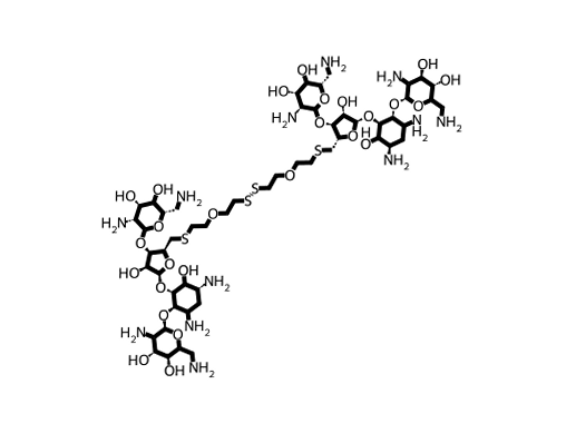 NCC1O[C@H](O[C@@H]2C(N)C[C@@H](N)C(O)[C@H]2O[C@@H]2O[C@H](CSCCOCCSSCCOCCSC[C@H]3O[C@@H](O[C@@H]4C(O)[C@H](N)CC(N)[C@H]4O[C@H]4OC(CN)[C@@H](O)[C@H](O)C4N)[C@@H](O)[C@H]3OC3O[C@@H](CN)C(O)[C@@H](O)[C@H]3N)[C@H](OC3O[C@@H](CN)C(O)[C@@H](O)[C@H]3N)[C@@H]2O)C(N)[C@@H](O)[C@@H]1O